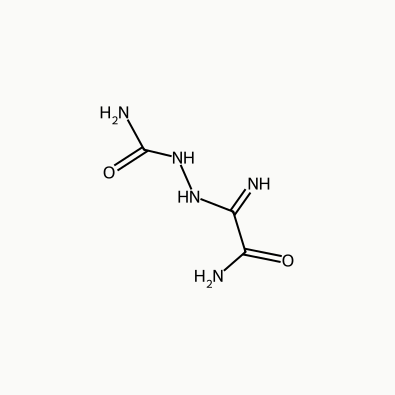 N=C(NNC(N)=O)C(N)=O